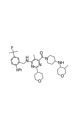 CCCc1ccc(C(C)(C)F)cc1CNc1nc(C2CCOCC2)nc(C(=O)N2CCC(NC3CCOCC3C)CC2)c1C